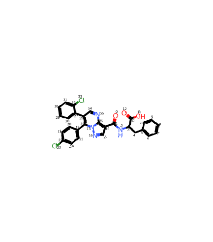 O=C(NC(Cc1ccccc1)C(=O)O)c1cnn2c(-c3ccc(Cl)cc3)c(-c3ccccc3Cl)cnc12